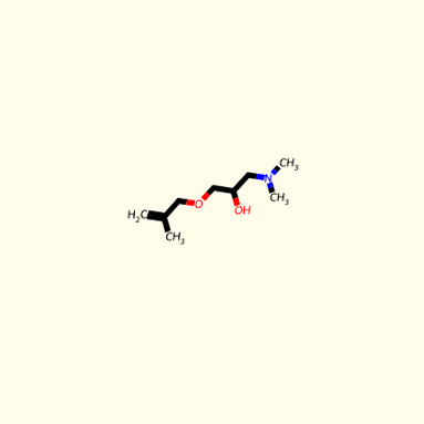 C=C(C)COCC(O)CN(C)C